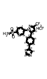 Cl.NS(=O)(=O)c1ccc(-n2nc(C(F)(F)F)cc2-c2ccc(-c3cncs3)cc2)cn1